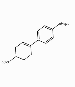 CCCCCCCCC1CC=C(c2ccc(CCCCCCC)cc2)CC1